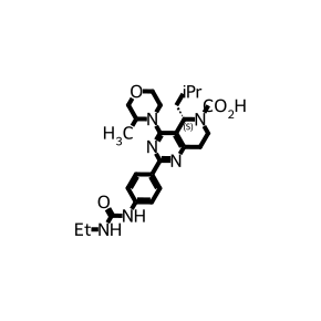 CCNC(=O)Nc1ccc(-c2nc3c(c(N4CCOCC4C)n2)[C@H](CC(C)C)N(C(=O)O)CC3)cc1